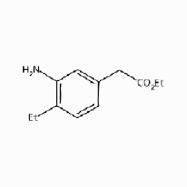 CCOC(=O)Cc1ccc(CC)c(N)c1